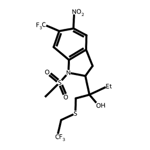 CCC(O)(CSCC(F)(F)F)C1Cc2cc([N+](=O)[O-])c(C(F)(F)F)cc2N1S(C)(=O)=O